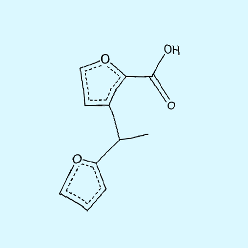 CC(c1ccco1)c1ccoc1C(=O)O